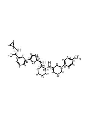 O=C(NC1CC1)c1cccc(-c2cnc(N[C@@H]3CCCC[C@H]3NC3CCCN(c4ccc(C(F)(F)F)nc4)C3)o2)c1